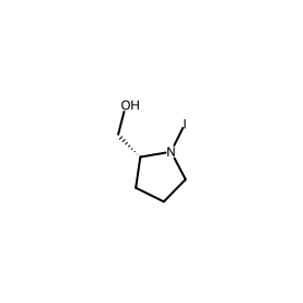 OC[C@H]1CCCN1I